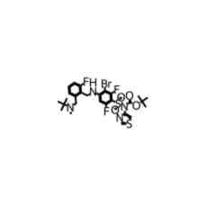 CN(Cc1cccc(F)c1CNc1cc(F)c(S(=O)(=O)N(C(=O)OC(C)(C)C)c2cscn2)c(F)c1Br)C(C)(C)C